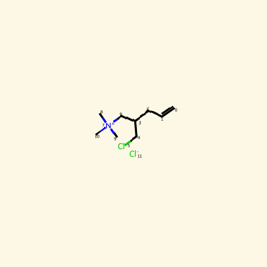 C=CCC(CCl)C[N+](C)(C)C.[Cl-]